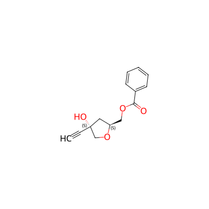 C#C[C@]1(O)CO[C@H](COC(=O)c2ccccc2)C1